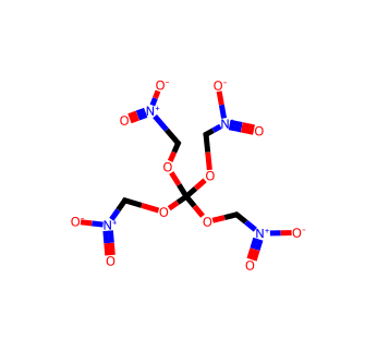 O=[N+]([O-])COC(OC[N+](=O)[O-])(OC[N+](=O)[O-])OC[N+](=O)[O-]